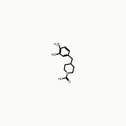 Nc1ccc(CC2CCN(C(=O)O)CC2)cc1O